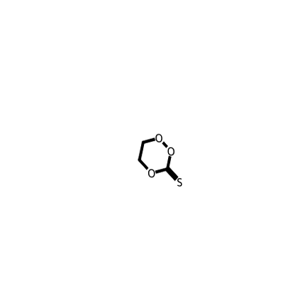 S=C1OCCOO1